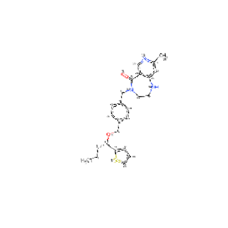 CCC[C@H](OCc1ccc(CN2CCNc3cc(C)ncc3C2=O)cc1)c1cccs1